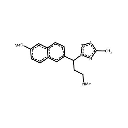 CNCCC(c1ccc2cc(OC)ccc2c1)n1nnc(C)n1